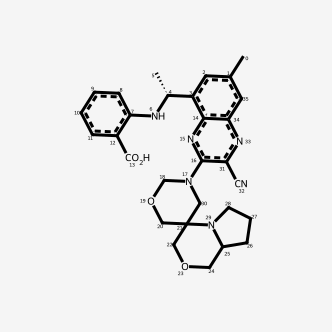 Cc1cc([C@@H](C)Nc2ccccc2C(=O)O)c2nc(N3COCC4(COCC5CCCN54)C3)c(C#N)nc2c1